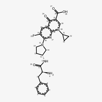 N[C@@H](Cc1ccccc1)C(=O)N[C@@H]1CCN(c2nc3c(cc2F)c(=O)c(C(=O)O)cn3C2CC2)C1